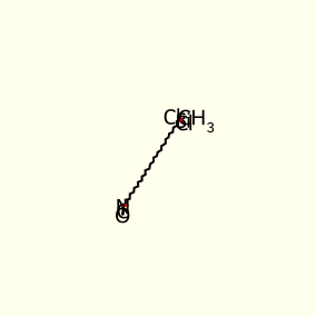 C[Si](Cl)(Cl)CCCCCCCCCCCCCCCCCCCCCCCCCCCCN=C=O